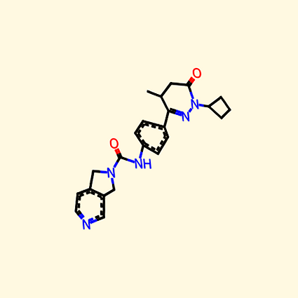 CC1CC(=O)N(C2CCC2)N=C1c1ccc(NC(=O)N2Cc3ccncc3C2)cc1